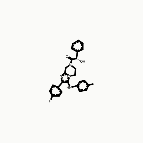 Cc1ccc(Nc2c(-c3ccc(F)cc3)nc3n2CCN(C(=O)[C@@H](O)c2ccccc2)C3)cc1